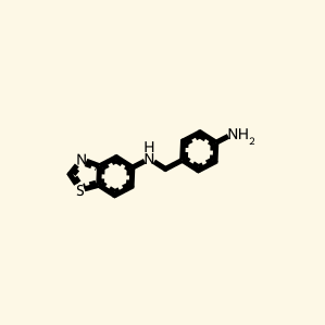 Nc1ccc(CNc2ccc3scnc3c2)cc1